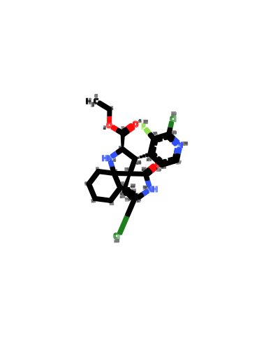 CCOC(=O)[C@@H]1NC2(CCCCC2)[C@@]2(C(=O)Nc3cc(Cl)ccc32)[C@H]1c1ccnc(Cl)c1F